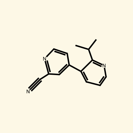 CC(C)c1ncccc1-c1ccnc(C#N)c1